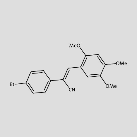 CCc1ccc(C(C#N)=Cc2cc(OC)c(OC)cc2OC)cc1